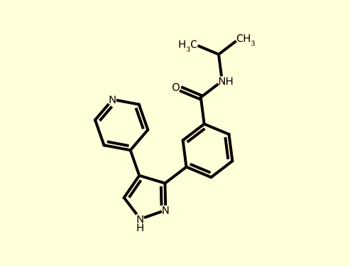 CC(C)NC(=O)c1cccc(-c2n[nH]cc2-c2ccncc2)c1